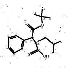 CC(C)C[C@@H](C(O)=S)[C@H](C(=O)OC(C)(C)C)c1ccccc1